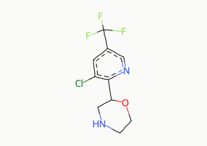 FC(F)(F)c1cnc(C2CNCCO2)c(Cl)c1